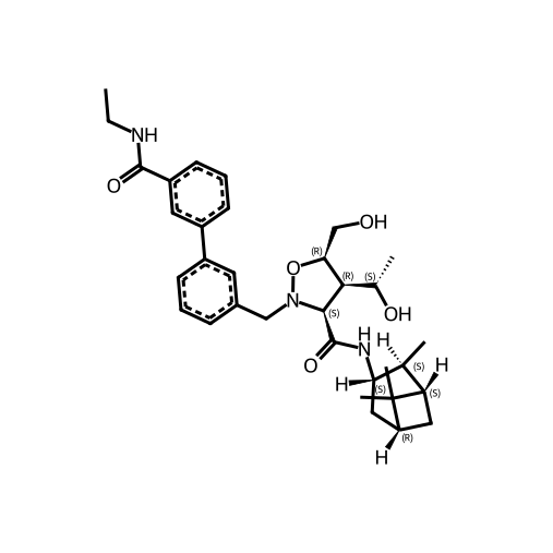 CCNC(=O)c1cccc(-c2cccc(CN3O[C@@H](CO)[C@@H]([C@H](C)O)[C@H]3C(=O)N[C@H]3C[C@H]4C[C@@H]([C@@H]3C)C4(C)C)c2)c1